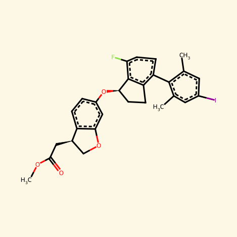 COC(=O)C[C@@H]1COc2cc(O[C@@H]3CCc4c(-c5c(C)cc(I)cc5C)ccc(F)c43)ccc21